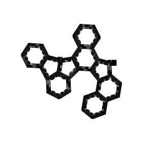 c1ccc2c(c1)ccc1[nH]c3c4ccccc4c4c(c5cccc6c7ccccc7n4c65)c3c12